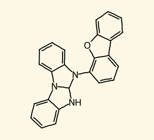 c1ccc2c(c1)NC1N2c2ccccc2N1c1cccc2c1oc1ccccc12